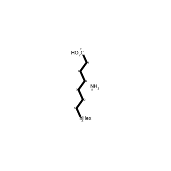 CCCCCCCCCCCCC(=O)O.N